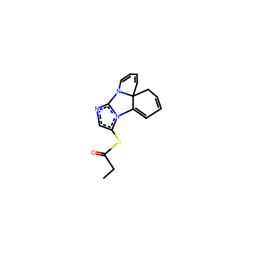 CCC(=O)Sc1cnc2n1C1=CC=CCC13C=CC=CN23